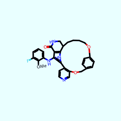 COc1c(F)cccc1Nc1c2[nH]c3c1C(=O)NCC3CCCCOc1ccc(cc1)COc1cnccc1-2